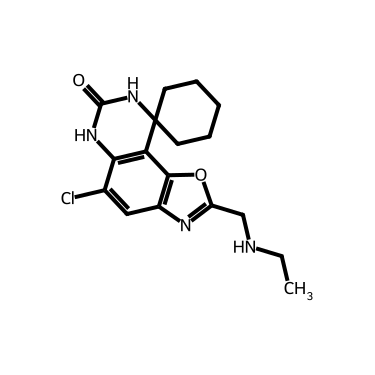 CCNCc1nc2cc(Cl)c3c(c2o1)C1(CCCCC1)NC(=O)N3